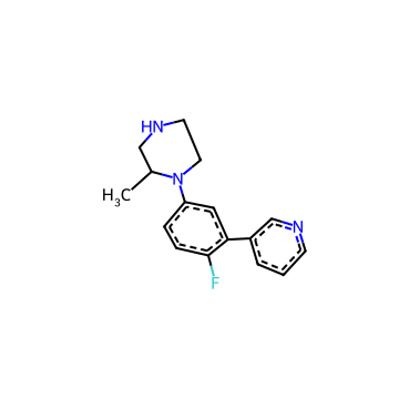 CC1CNCCN1c1ccc(F)c(-c2cccnc2)c1